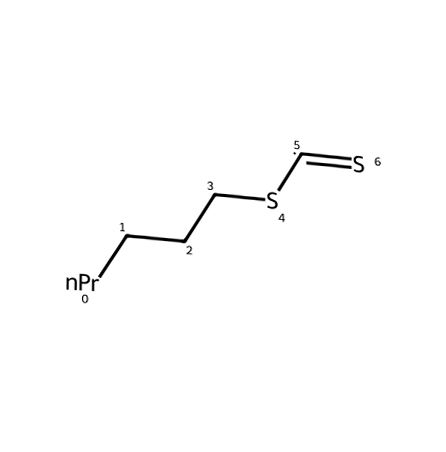 CCCCCCS[C]=S